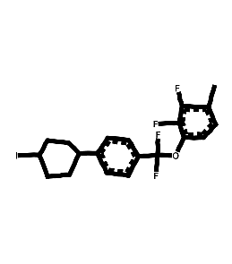 Cc1ccc(OC(F)(F)c2ccc(C3CCC(I)CC3)cc2)c(F)c1F